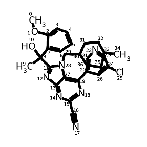 COc1ccccc1C(C)(O)c1nc2nc(C#N)nc(-c3cncc(Cl)c3)c2n1CC1CCC(C)CC1